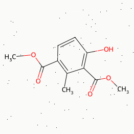 COC(=O)c1ccc(O)c(C(=O)OC)c1C